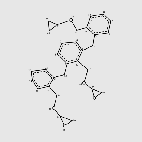 c1ccc(Cc2cccc(Cc3ccccc3COC3CO3)c2COC2CO2)c(COC2CC2)c1